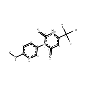 COc1ccc(-n2c(=O)cc(C(F)(F)F)[nH]c2=O)cn1